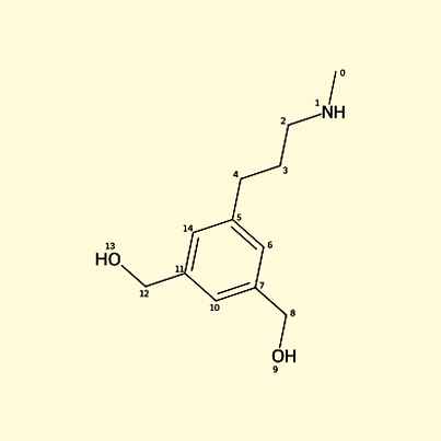 CNCCCc1cc(CO)cc(CO)c1